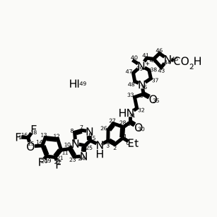 CCc1cc(Nc2nccn3c(-c4ccc(OC(F)F)c(F)c4F)cnc23)ccc1C(=O)NCCC(=O)N1CC[N+](C)(CC2CN(C(=O)O)C2)CC1.I